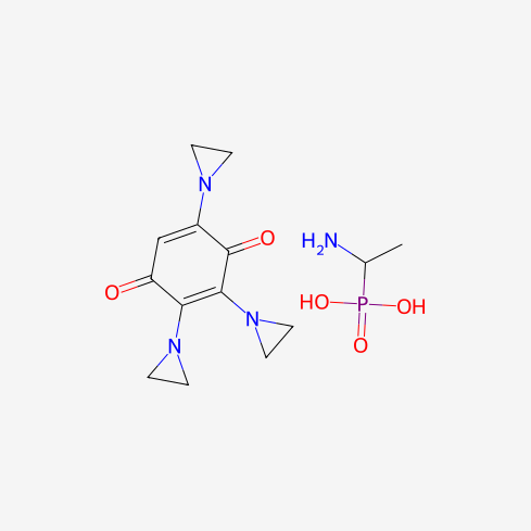 CC(N)P(=O)(O)O.O=C1C=C(N2CC2)C(=O)C(N2CC2)=C1N1CC1